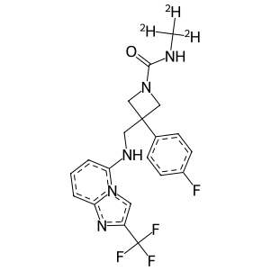 [2H]C([2H])([2H])NC(=O)N1CC(CNc2cccc3nc(C(F)(F)F)cn23)(c2ccc(F)cc2)C1